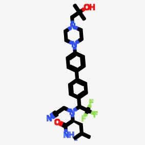 CC(C)C[C@@H](C(N)=O)N(CC#N)C(c1ccc(-c2ccc(N3CCN(CC(C)(C)O)CC3)cc2)cc1)C(F)(F)F